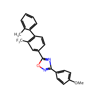 COc1ccc(-c2noc(-c3ccc(-c4ccccc4C)c(C(F)(F)F)c3)n2)cc1